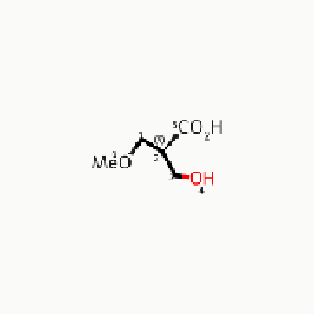 COC[C@H](CO)C(=O)O